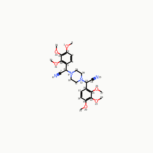 COc1ccc(C(C#N)N2CCN(C(C#N)c3ccc(OC)c(OC)c3OC)CC2)c(OC)c1OC